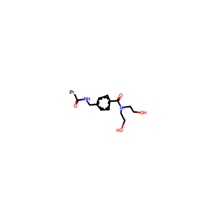 CC(C)C(=O)NCc1ccc(C(=O)N(CCO)CCO)cc1